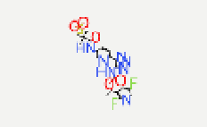 C[C@@H](OC(=O)Nc1c(-c2ccc(NC(=O)C3(C)CS(=O)(=O)C3)cn2)nnn1C)c1cc(F)cnc1F